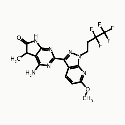 COc1ccc2c(-c3nc(N)c4c(n3)NC(=O)C4C)nn(CCC(F)(F)C(F)(F)F)c2n1